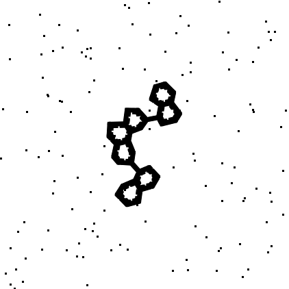 c1ccc2c(-c3ccc4ccc5ccc(-c6cccc7ccccc67)cc5c4c3)cccc2c1